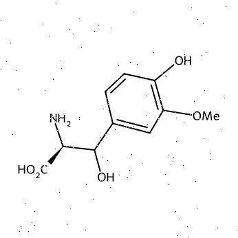 COc1cc(C(O)[C@H](N)C(=O)O)ccc1O